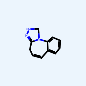 C1=Cc2ccccc2N2CNN=C2C1